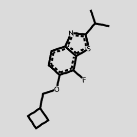 CC(C)c1nc2ccc(OCC3CCC3)c(F)c2s1